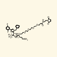 CC(C)(C)[C@@H](NC(=O)C(CCCN)SCCOCCOCCOCCOCCC(=O)NCCN1C(=O)C=CC1=O)c1nc(-c2cc(F)ccc2F)cn1Cc1ccccc1